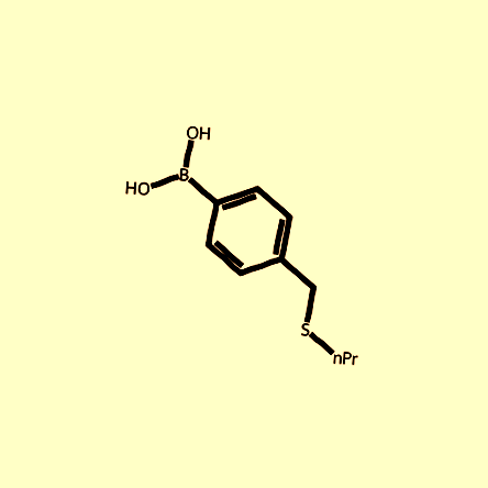 CCCSCc1ccc(B(O)O)cc1